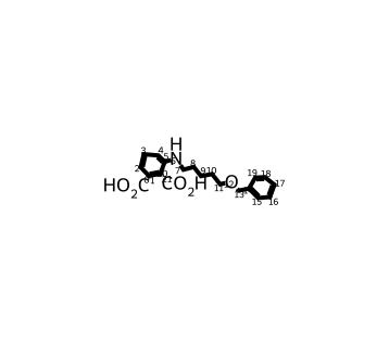 O=C(O)c1cccc(NCCCCCOCc2ccccc2)c1C(=O)O